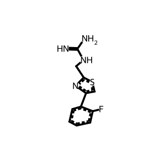 N=C(N)NCc1nc(-c2ccccc2F)cs1